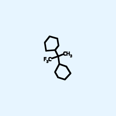 CC(C1CCCCC1)(C1CCCCC1)C(F)(F)F